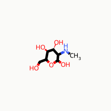 CNC1C(O)OC(CO)[C@@H](O)[C@@H]1O